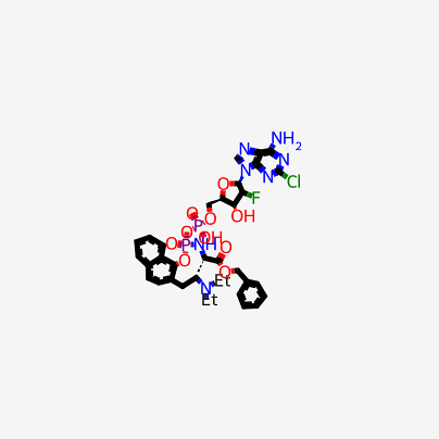 CCN(CC)CCc1ccc2ccccc2c1OP(=O)(N[C@@H](C)C(=O)OCc1ccccc1)OP(=O)(O)OC[C@H]1O[C@@H](n2cnc3c(N)nc(Cl)nc32)C(F)[C@H]1O